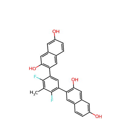 Cc1c(F)c(-c2cc3ccc(O)cc3cc2O)cc(-c2cc3ccc(O)cc3cc2O)c1F